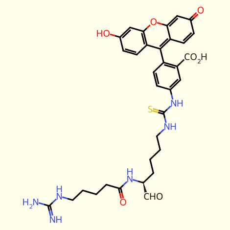 N=C(N)NCCCCC(=O)N[C@H](C=O)CCCCNC(=S)Nc1ccc(-c2c3ccc(=O)cc-3oc3cc(O)ccc23)c(C(=O)O)c1